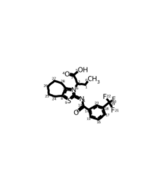 CCC(C(=O)O)n1c2c(sc1=NC(=O)c1cccc(C(F)(F)F)c1)CCCCC2